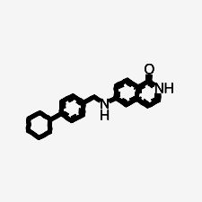 O=c1[nH]ccc2cc(NCc3ccc(C4CCCCC4)cc3)ccc12